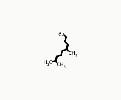 CCC(C)CCC=C(C)CCC=C(C)C